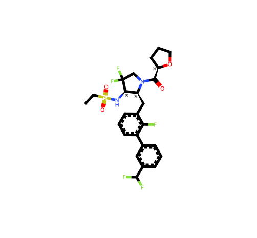 CCS(=O)(=O)N[C@@H]1[C@H](Cc2cccc(-c3cccc(C(F)F)c3)c2F)N(C(=O)[C@H]2CCCO2)CC1(F)F